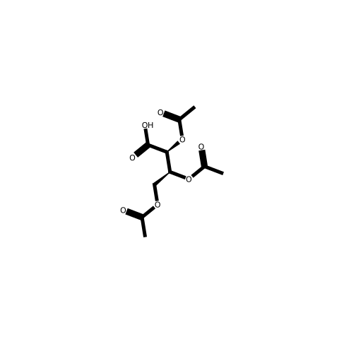 CC(=O)OC[C@H](OC(C)=O)[C@H](OC(C)=O)C(=O)O